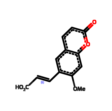 COc1cc2oc(=O)ccc2cc1/C=C/C(=O)O